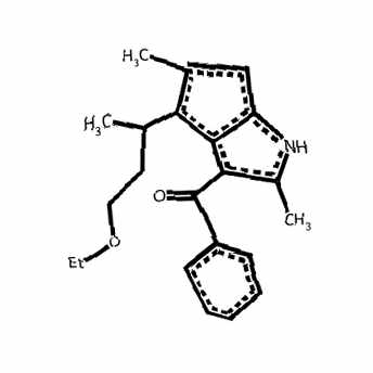 CCOCCC(C)c1c(C)ccc2[nH]c(C)c(C(=O)c3ccccc3)c12